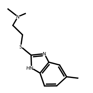 Cc1ccc2[nH]c(SCCN(C)C)nc2c1